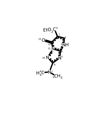 CCOC(=O)c1c[nH]c2nc(N(C)C)nn2c1=O